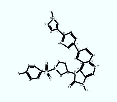 Cc1ccc(S(=O)(=O)N2CCC(n3c(=O)n(C)c4cnc5ccc(-c6ccc(-c7cnn(C)c7)nc6)cc5c43)C2)cc1